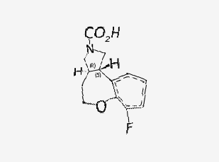 O=C(O)N1C[C@@H]2CCOc3c(F)cccc3[C@H]2C1